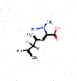 C=C(C)C(F)(F)C(=C)/C=C(/C(=O)O)N(C)N